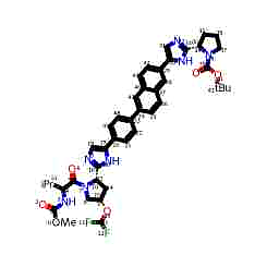 COC(=O)NC(C(=O)N1C[C@@H](OC(F)F)C[C@H]1c1ncc(-c2ccc(-c3ccc4cc(-c5cnc([C@@H]6CCCN6C(=O)OC(C)(C)C)[nH]5)ccc4c3)cc2)[nH]1)C(C)C